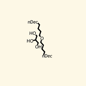 CCCCCCCCCCCCCCOCCCCCCCCCCCCCC.OCC(O)CO